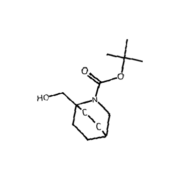 CC(C)(C)OC(=O)N1CC2CCC1(CO)CC2